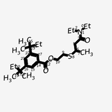 CCN(CC)C(=O)CC(C)SCCOC(=O)c1cc(C(C)(C)CC)cc(C(C)(C)CC)c1